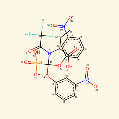 CCC(C(=O)O)N(C(=O)C(F)(F)F)C(Oc1cccc([N+](=O)[O-])c1)(Oc1cccc([N+](=O)[O-])c1)P(=O)(O)O